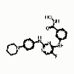 O=C(NO)c1cccc(Nc2nc(Nc3ccc(N4CCCCC4)cc3)ncc2F)c1